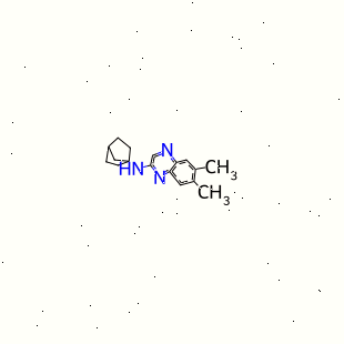 Cc1cc2ncc(NC34CCC(CC3)C4)nc2cc1C